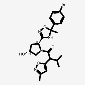 Cc1cc(C(C(=O)N2C[C@H](O)C[C@H]2C2=NOC(C)(c3ccc(Br)cc3)N2)C(C)C)on1